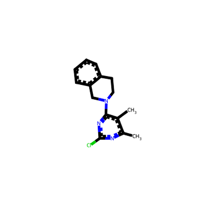 Cc1nc(Cl)nc(N2CCc3ccccc3C2)c1C